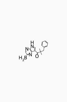 Bc1cnc2[nH]cc(C(=O)C(C)(C)Cc3ccccc3)c2n1